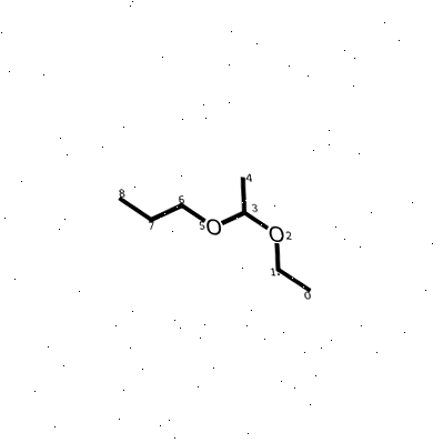 C[CH]OC(C)OCCC